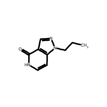 CCCn1ncc2c(=O)[nH]ccc21